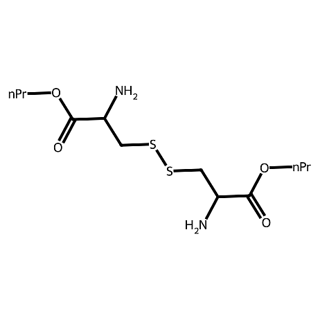 CCCOC(=O)C(N)CSSCC(N)C(=O)OCCC